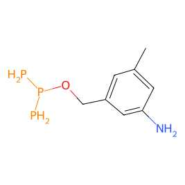 Cc1cc(N)cc(COP(P)P)c1